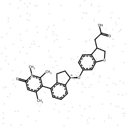 Cc1cc(=O)n(C)c(C)c1-c1cccc2c1CC[C@H]2Oc1ccc2c(c1)OCC2CC(=O)O